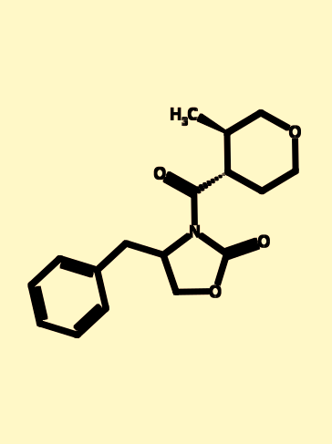 C[C@H]1COCC[C@@H]1C(=O)N1C(=O)OCC1Cc1ccccc1